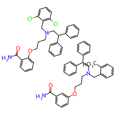 NC(=O)c1cccc(OCCCN(Cc2ccccc2C(=O)O)CC(c2ccccc2)c2ccccc2)c1.NC(=O)c1ccccc1OCCCN(Cc1c(Cl)cccc1Cl)CC(c1ccccc1)c1ccccc1